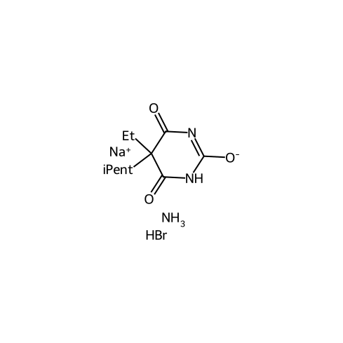 Br.CCCC(C)C1(CC)C(=O)N=C([O-])NC1=O.N.[Na+]